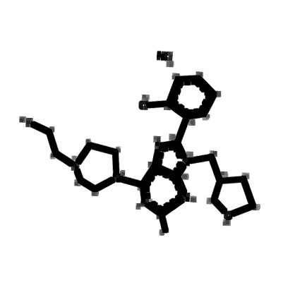 Cc1nc(N2CCN(CCF)CC2)c2nc(-c3ccccc3Cl)n(CC3CCOC3)c2n1.Cl